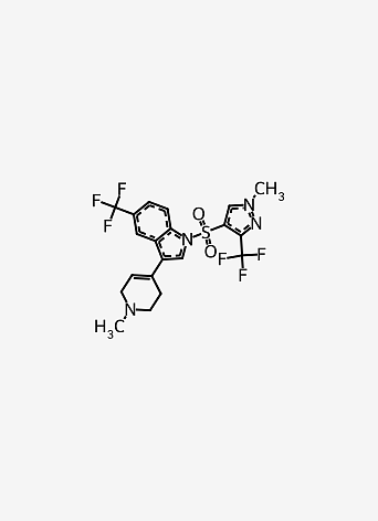 CN1CC=C(c2cn(S(=O)(=O)c3cn(C)nc3C(F)(F)F)c3ccc(C(F)(F)F)cc23)CC1